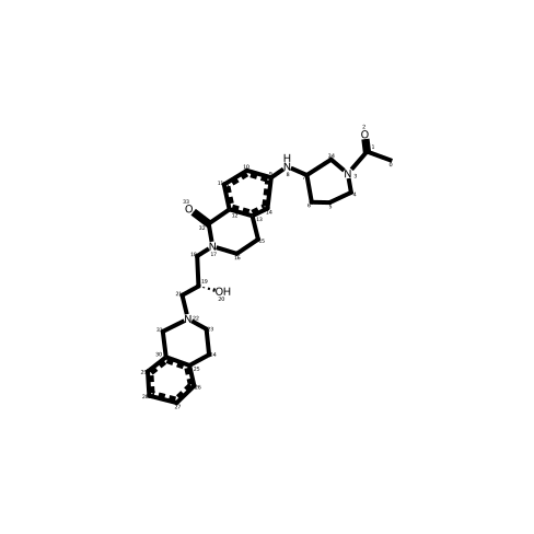 CC(=O)N1CCCC(Nc2ccc3c(c2)CCN(C[C@H](O)CN2CCc4ccccc4C2)C3=O)C1